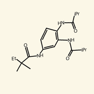 CCC(C)(C)C(=O)Nc1ccc(NC(=O)C(C)C)c(NC(=O)C(C)C)c1